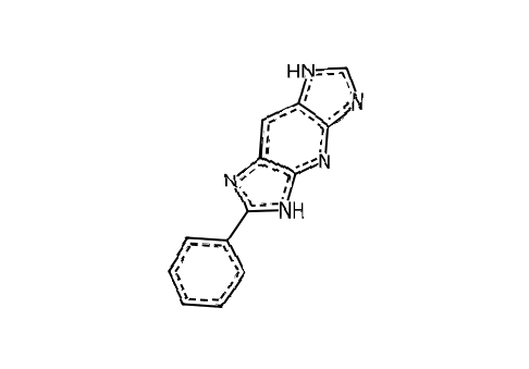 c1ccc(-c2nc3cc4[nH]cnc4nc3[nH]2)cc1